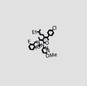 CC/C(C)=C/C/C(=C(/C)c1ccc(Cl)cc1)c1c(C)n(Cc2c(F)cccc2F)c(=O)n(-c2ccc(OC)nn2)c1=O